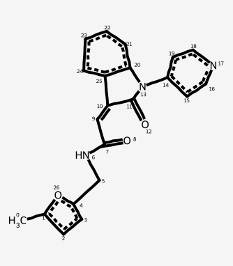 Cc1ccc(CNC(=O)C=C2C(=O)N(c3ccncc3)c3ccccc32)o1